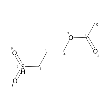 CC(=O)OCCC[SH](=O)=O